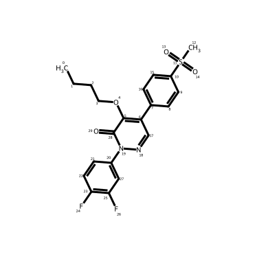 CCCCOc1c(-c2ccc(S(C)(=O)=O)cc2)cnn(-c2ccc(F)c(F)c2)c1=O